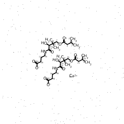 CC(C)CC(=O)OCC(C)(C)C(O)C(=O)NCCCC(=O)[O-].CC(C)CC(=O)OCC(C)(C)C(O)C(=O)NCCCC(=O)[O-].[Ca+2]